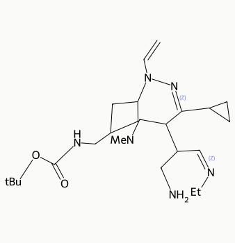 C=CN(/N=C(/C1CC1)C(CNC)C(/C=N\CC)CN)C1CC(CNC(=O)OC(C)(C)C)C1